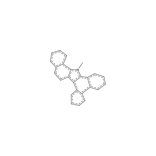 Cn1c2c3ccccc3ccc2c2c3ccccc3c3ccccc3c21